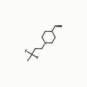 C=CC1CCN(CCC(F)(F)F)CC1